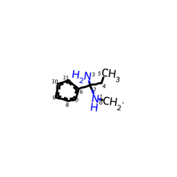 [CH2]NC(N)(CC)c1ccccc1